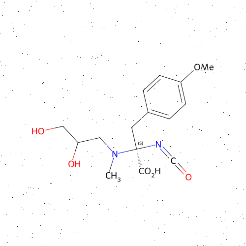 COc1ccc(C[C@](N=C=O)(C(=O)O)N(C)CC(O)CO)cc1